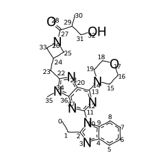 CCc1nc2ccccc2n1-c1nc(N2CCOCC2)c2nc(CC3CN(C(=O)C(C)CO)C3)n(C)c2n1